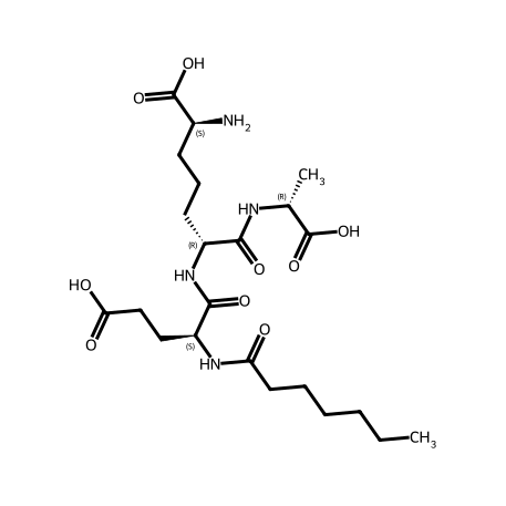 CCCCCCC(=O)N[C@@H](CCC(=O)O)C(=O)N[C@H](CCC[C@H](N)C(=O)O)C(=O)N[C@H](C)C(=O)O